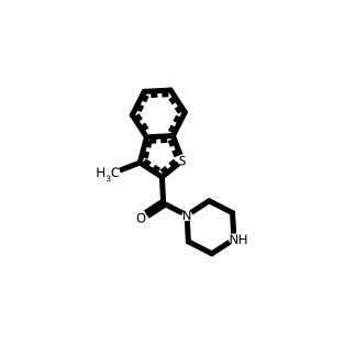 Cc1c(C(=O)N2CCNCC2)sc2ccccc12